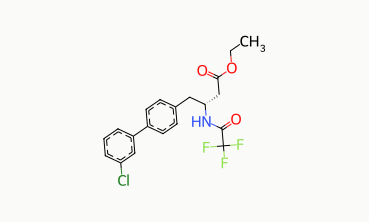 CCOC(=O)C[C@@H](Cc1ccc(-c2cccc(Cl)c2)cc1)NC(=O)C(F)(F)F